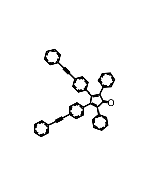 O=C1C(c2ccccc2)=C(c2ccc(C#Cc3ccccc3)cc2)C(c2ccc(C#Cc3ccccc3)cc2)=C1c1ccccc1